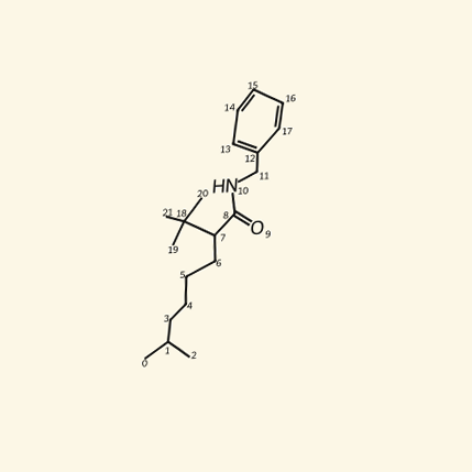 CC(C)CCCCC(C(=O)NCc1ccccc1)C(C)(C)C